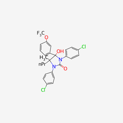 CCCC1(C)N(c2ccc(Cl)cc2)C(=O)N(c2ccc(Cl)cc2)C1(O)c1cccc(OC(F)(F)F)c1